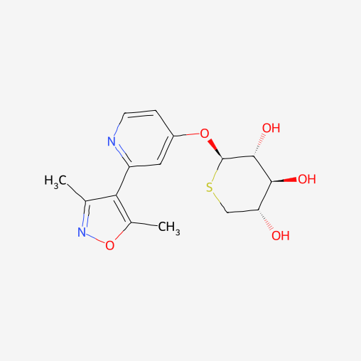 Cc1noc(C)c1-c1cc(O[C@@H]2SC[C@@H](O)[C@H](O)[C@H]2O)ccn1